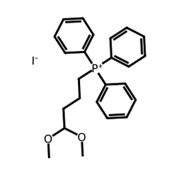 COC(CCC[P+](c1ccccc1)(c1ccccc1)c1ccccc1)OC.[I-]